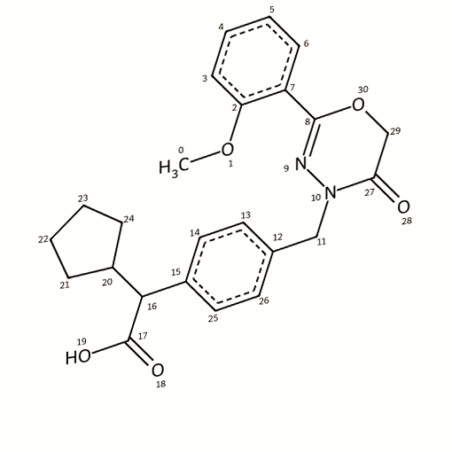 COc1ccccc1C1=NN(Cc2ccc(C(C(=O)O)C3CCCC3)cc2)C(=O)CO1